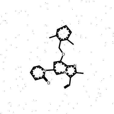 C=Cc1c(C)nc2c(OCc3c(C)cccc3C)cc(-n3ccccc3=O)cn12